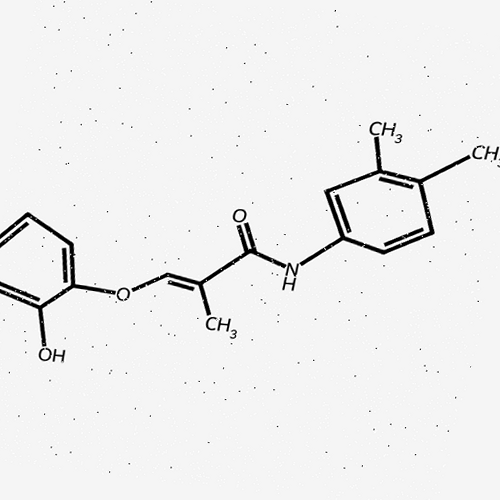 C/C(=C\Oc1ccccc1O)C(=O)Nc1ccc(C)c(C)c1